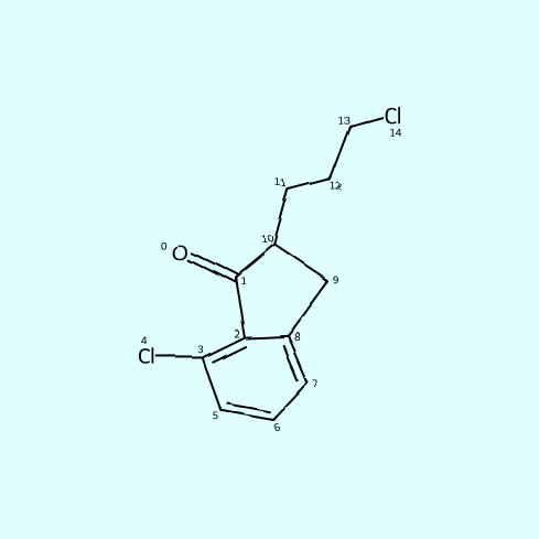 O=C1c2c(Cl)cccc2CC1CCCCl